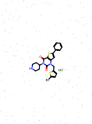 CCc1ccc(Cn2c(=O)n(C3CCNCC3)c(=O)c3sc(-c4ccccc4)cc32)s1.Cl